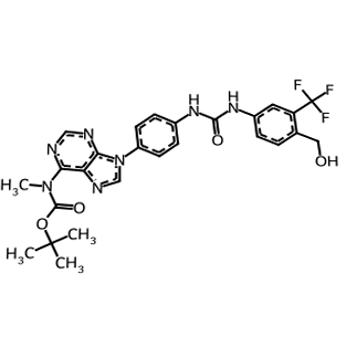 CN(C(=O)OC(C)(C)C)c1ncnc2c1ncn2-c1ccc(NC(=O)Nc2ccc(CO)c(C(F)(F)F)c2)cc1